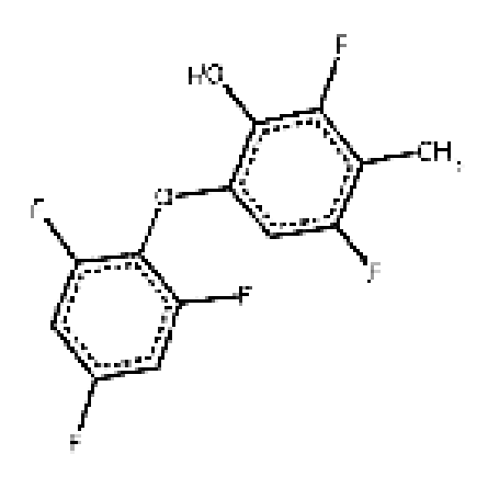 Cc1c(F)cc(Oc2c(F)cc(F)cc2F)c(O)c1F